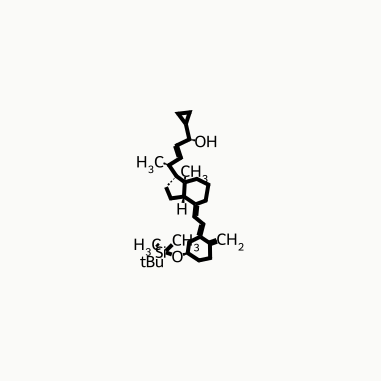 C=C1CC[C@@H](O[Si](C)(C)C(C)(C)C)CC1=CC=C1CCC[C@]2(C)[C@@H]([C@H](C)C=C[C@@H](O)C3CC3)CC[C@@H]12